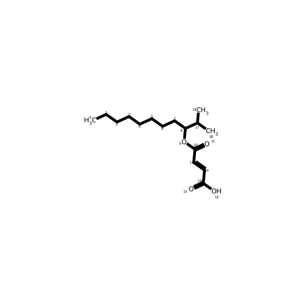 CCCCCCCCC(OC(=O)C=CC(=O)O)C(C)C